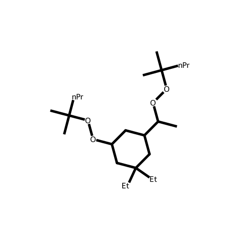 CCCC(C)(C)OOC1CC(C(C)OOC(C)(C)CCC)CC(CC)(CC)C1